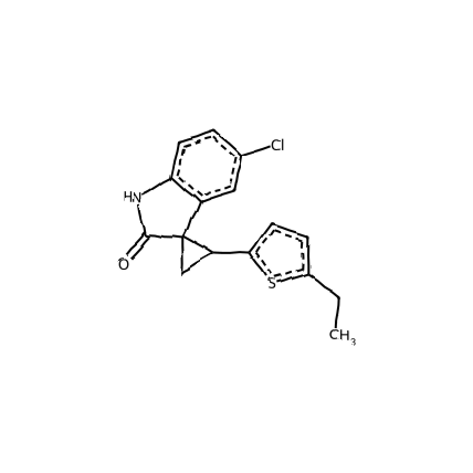 CCc1ccc(C2CC23C(=O)Nc2ccc(Cl)cc23)s1